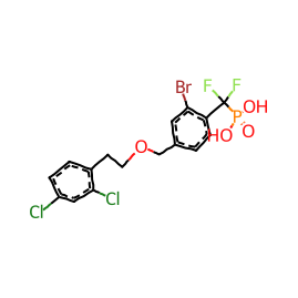 O=P(O)(O)C(F)(F)c1ccc(COCCc2ccc(Cl)cc2Cl)cc1Br